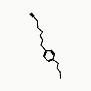 [C]#CCCCCCCc1ccc(CCCC)cc1